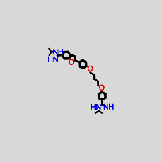 CC(C)NC(=N)c1ccc(OCCCCCOc2ccc(-c3cc4ccc(C(=N)NC(C)C)cc4o3)cc2)cc1